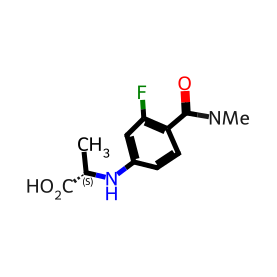 CNC(=O)c1ccc(N[C@@H](C)C(=O)O)cc1F